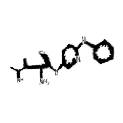 CC(=N)/C(C)=C(\N)C(=O)Nc1ccc(Nc2ccccc2)nc1